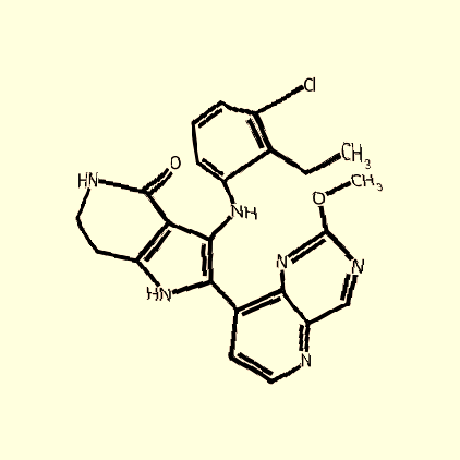 CCc1c(Cl)cccc1Nc1c(-c2ccnc3cnc(OC)nc23)[nH]c2c1C(=O)NCC2